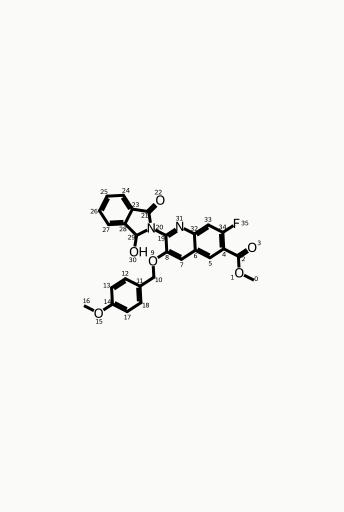 COC(=O)c1cc2cc(OCc3ccc(OC)cc3)c(N3C(=O)c4ccccc4C3O)nc2cc1F